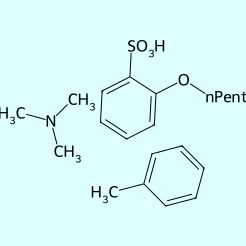 CCCCCOc1ccccc1S(=O)(=O)O.CN(C)C.Cc1ccccc1